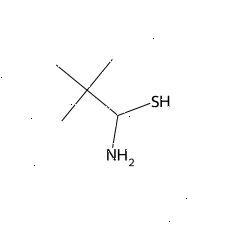 CC(C)(C)C(N)S